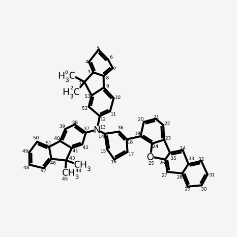 CC1(C)c2ccccc2-c2ccc(N(c3cccc(-c4cccc5c4oc4cc6ccccc6cc45)c3)c3ccc4c(c3)C(C)(C)c3ccccc3-4)cc21